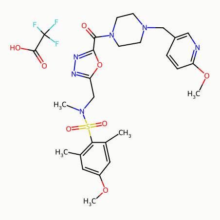 COc1cc(C)c(S(=O)(=O)N(C)Cc2nnc(C(=O)N3CCN(Cc4ccc(OC)nc4)CC3)o2)c(C)c1.O=C(O)C(F)(F)F